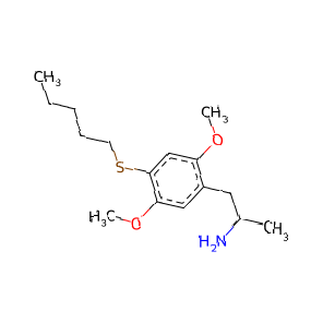 CCCCCSc1cc(OC)c(CC(C)N)cc1OC